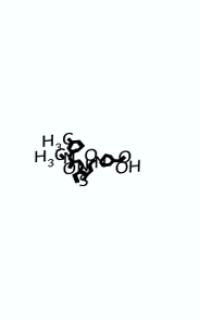 CCN(C(=O)Cn1c(C(=O)N2CCC(C(=O)O)CC2)cc2sccc21)c1cccc(C)c1